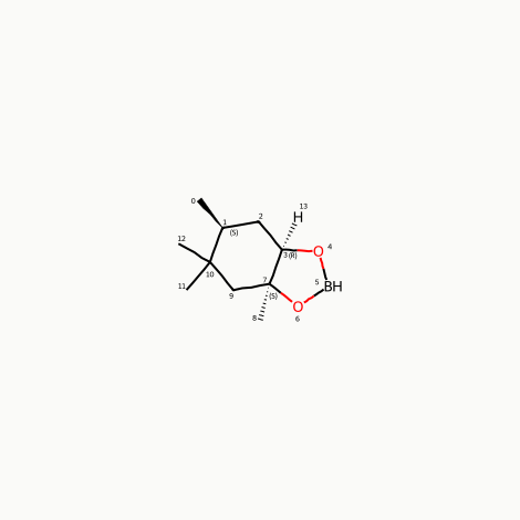 C[C@H]1C[C@H]2OBO[C@@]2(C)CC1(C)C